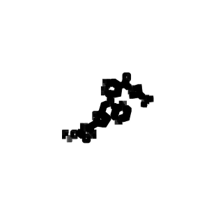 CN(C)C1CN(C(=O)c2cnnc(N(Cc3ccc(-c4noc(C(F)(F)F)n4)s3)c3cnccn3)c2)C1